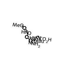 COc1ccc(CNC(=O)c2cccc(-c3cnc(N)c(C(=O)N[C@H]4CCN(C(=O)O)C4C(C)(C)C)n3)c2)cc1